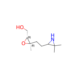 CC1(C)NC1CC[C@@]1(C)O[C@@H]1CO